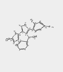 OC(c1cccnc1)c1c(-c2ccc(Cl)s2)coc1-c1ccc(F)cc1F